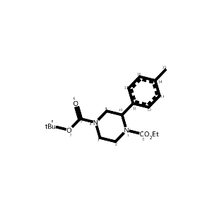 CCOC(=O)N1CCN(C(=O)OC(C)(C)C)CC1c1ccc(C)cc1